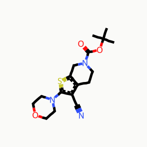 CC(C)(C)OC(=O)N1CCc2c(sc(N3CCOCC3)c2C#N)C1